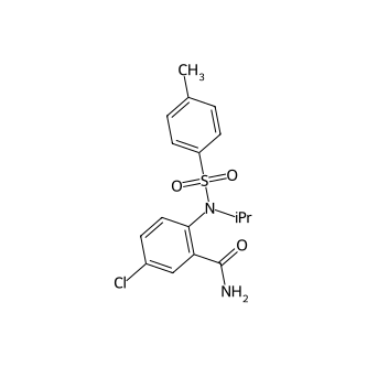 Cc1ccc(S(=O)(=O)N(c2ccc(Cl)cc2C(N)=O)C(C)C)cc1